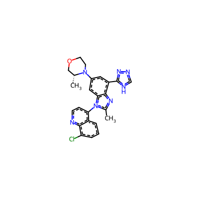 Cc1nc2c(-c3nnc[nH]3)cc(N3CCOC[C@H]3C)cc2n1-c1ccnc2c(Cl)cccc12